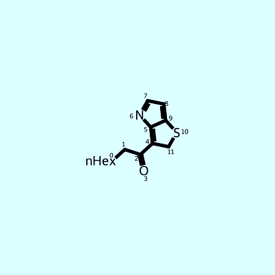 CCCCCCCC(=O)C1=C2N=CC=C2SC1